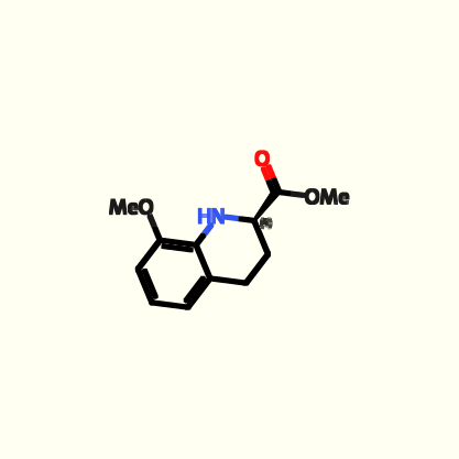 COC(=O)[C@H]1CCc2cccc(OC)c2N1